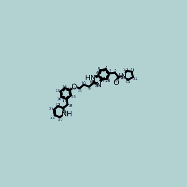 O=C(Cc1ccc2[nH]c(CCCOc3cccc(CC4CC=CCN4)c3)nc2c1)N1CCCC1